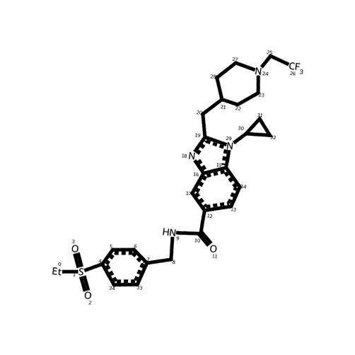 CCS(=O)(=O)c1ccc(CNC(=O)c2ccc3c(c2)nc(CC2CCN(CC(F)(F)F)CC2)n3C2CC2)cc1